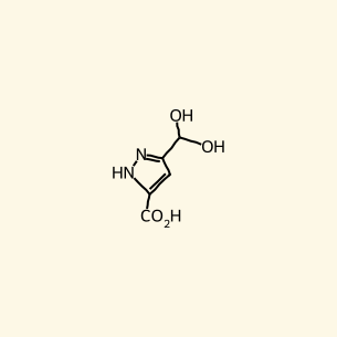 O=C(O)c1cc(C(O)O)n[nH]1